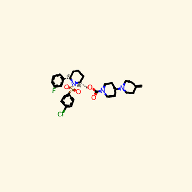 C=C1CCN(C2CCN(C(=O)OC[C@H]3CCC[C@@H](c4cccc(F)c4)N3S(=O)(=O)c3ccc(Cl)cc3)CC2)CC1